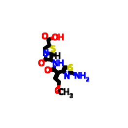 COCC=C(C(=O)NC1C(=O)N2CC(C(=O)O)S[C@H]12)c1csc(N)n1